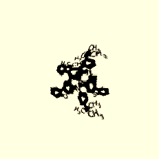 CC(C)(C)c1ccc(N2B3c4cc5sc6ccccc6c5cc4-n4c5ccc(C(C)(C)C)cc5c5c6c(c(c3c54)-c3cc4c(cc32)oc2ccccc24)-c2ccccc2C6(C)C)cc1